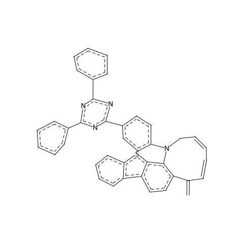 C=C1/C=C\C=C/CN(c2ccc(-c3nc(-c4ccccc4)nc(-c4ccccc4)n3)cc2)c2c1ccc1c2sc2ccccc21